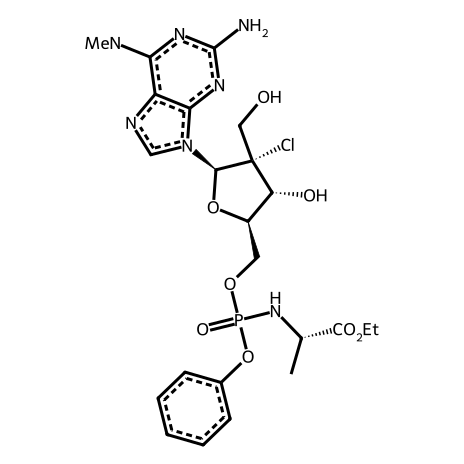 CCOC(=O)[C@H](C)NP(=O)(OC[C@H]1O[C@@H](n2cnc3c(NC)nc(N)nc32)[C@@](Cl)(CO)[C@@H]1O)Oc1ccccc1